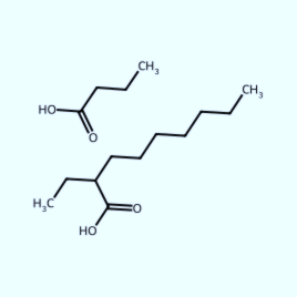 CCCC(=O)O.CCCCCCCC(CC)C(=O)O